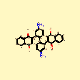 Nc1ccc(-c2ccc(N)cc2C2=CC(=O)c3ccccc3C2=O)c(C2=CC(=O)c3ccccc3C2=O)c1